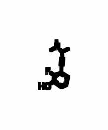 CC(C#Cc1cccc(O)c1F)N(C)C